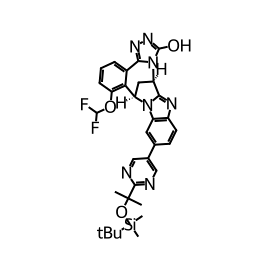 CC(C)(O[Si](C)(C)C(C)(C)C)c1ncc(-c2ccc3nc4n(c3c2)[C@@H]2C[C@H]4n3c(O)nnc3-c3cccc(OC(F)F)c32)cn1